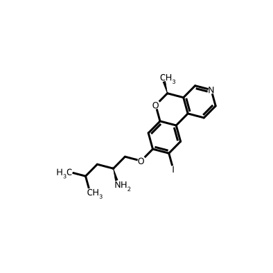 CC(C)C[C@H](N)COc1cc2c(cc1I)-c1ccncc1[C@H](C)O2